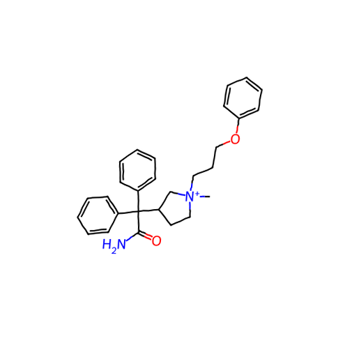 C[N+]1(CCCOc2ccccc2)CCC(C(C(N)=O)(c2ccccc2)c2ccccc2)C1